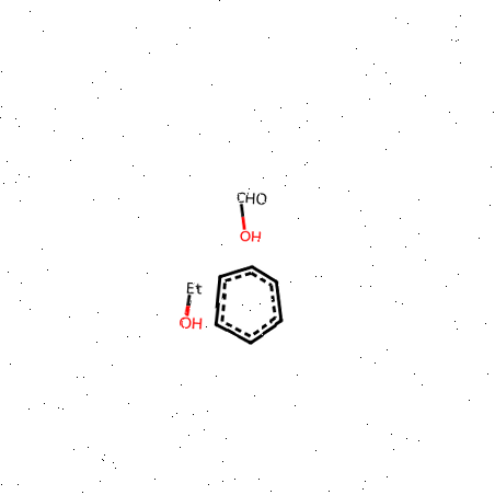 CCO.O=CO.c1ccccc1